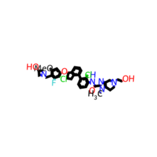 COc1cc(OC2CCc3c(-c4cccc(NC(=O)c5nc6c(n5C)CCN(CCO)C6)c4Cl)cccc32)c(Cl)c(F)c1CN1CC(O)C1